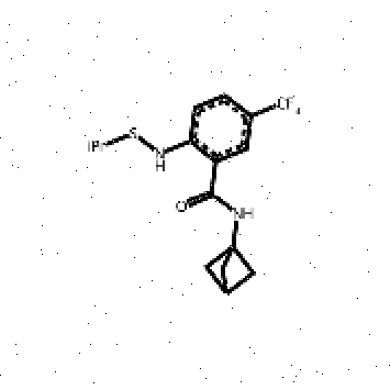 CC(C)SNc1ccc(C(F)(F)F)cc1C(=O)NC12CC(C1)C2